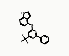 FC(F)(F)c1cc(Nc2cccc3[nH]ccc23)nc(-c2cccnc2)n1